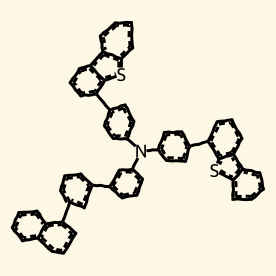 c1cc(-c2cccc(N(c3ccc(-c4cccc5c4sc4ccccc45)cc3)c3ccc(-c4cccc5c4sc4ccccc45)cc3)c2)cc(-c2cccc3ccccc23)c1